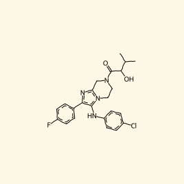 CC(C)C(O)C(=O)N1CCn2c(nc(-c3ccc(F)cc3)c2Nc2ccc(Cl)cc2)C1